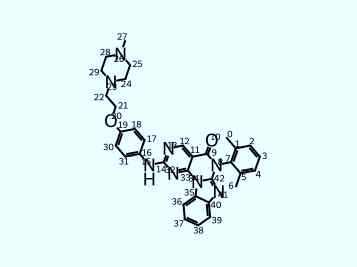 Cc1cccc(C)c1-n1c(=O)c2cnc(Nc3ccc(OCCN4CCN(C)CC4)cc3)nc2n2c3ccccc3nc12